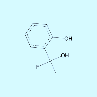 CC(O)(F)c1ccccc1O